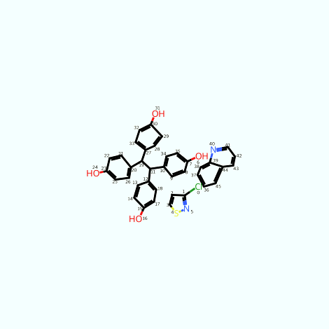 Clc1ccsn1.Oc1ccc(C(c2ccc(O)cc2)C(c2ccc(O)cc2)c2ccc(O)cc2)cc1.c1ccc2ncccc2c1